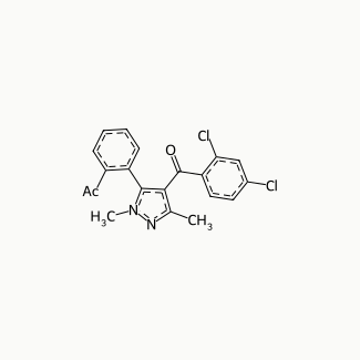 CC(=O)c1ccccc1-c1c(C(=O)c2ccc(Cl)cc2Cl)c(C)nn1C